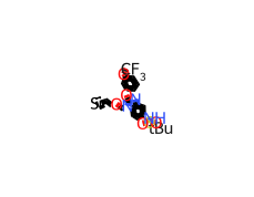 CC(C)(C)S(=O)(=O)Nc1ccc2c(c1)nc(Oc1cccc(OC(F)(F)F)c1)n2COCC[Si](C)(C)C